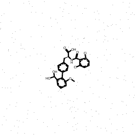 COc1cccc(C(O)O)c1-c1ccc(C[C@H](NC(=O)c2c(Cl)cccc2Cl)C(=O)O)cc1